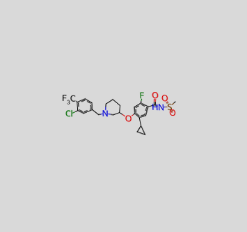 CS(=O)(=O)NC(=O)c1cc(C2CC2)c(OC2CCCN(Cc3ccc(C(F)(F)F)c(Cl)c3)C2)cc1F